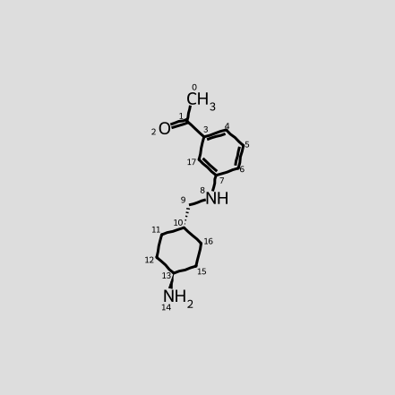 CC(=O)c1cccc(NC[C@H]2CC[C@H](N)CC2)c1